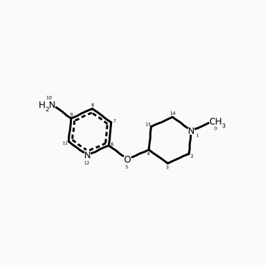 CN1CCC(Oc2ccc(N)cn2)CC1